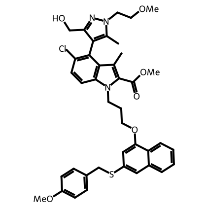 COCCn1nc(CO)c(-c2c(Cl)ccc3c2c(C)c(C(=O)OC)n3CCCOc2cc(SCc3ccc(OC)cc3)cc3ccccc23)c1C